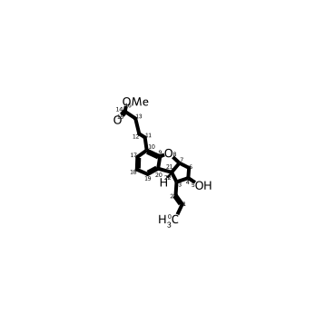 C/C=C/C1C(O)CC2Oc3c(CCCC(=O)OC)cccc3[C@H]21